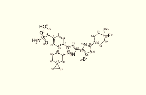 NS(=O)(=O)C(CO)c1ccc(-n2cc(-c3nc(N4CCC(F)(F)CC4)sc3Br)nn2)c(N2CCC3(CC2)CC3)c1